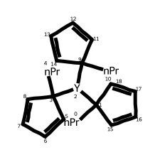 CCC[C]1([Y]([C]2(CCC)C=CC=C2)[C]2(CCC)C=CC=C2)C=CC=C1